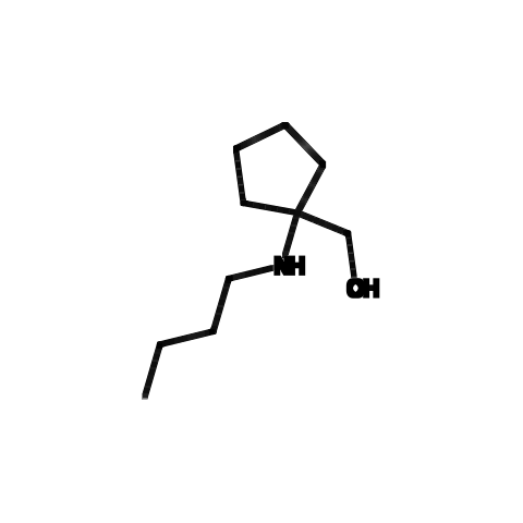 CCCCNC1(CO)CCCC1